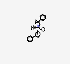 N#C/C(=C\C1(c2ccccc2)CC1)C(=O)N1CCC(c2ccccc2)C1